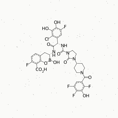 O=C(O)c1c(F)ccc2c1OB(O)[C@@H](NC(=O)[C@@H](NC(=O)N1CCN(C3CCN(C(=O)c4cc(F)c(F)c(O)c4F)CC3)C1=O)c1cc(F)c(O)c(O)c1Cl)C2